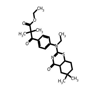 CCOC(=O)C(C)(C)C(=O)c1ccc(N(CC)C2=NC(=O)C3CC(C)(C)CCC3S2)cc1